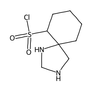 O=S(=O)(Cl)C1CCCCC12CNCN2